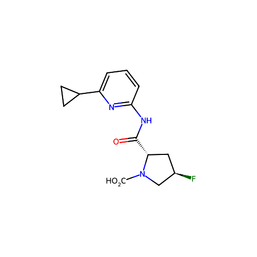 O=C(Nc1cccc(C2CC2)n1)[C@@H]1C[C@@H](F)CN1C(=O)O